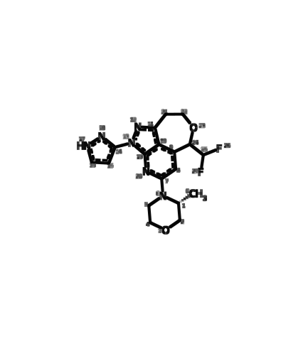 C[C@@H]1COCCN1c1cc2c3c(nn(-c4cc[nH]n4)c3n1)CCOC2C(F)F